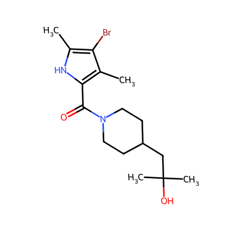 Cc1[nH]c(C(=O)N2CCC(CC(C)(C)O)CC2)c(C)c1Br